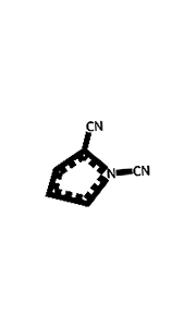 N#Cc1cccn1C#N